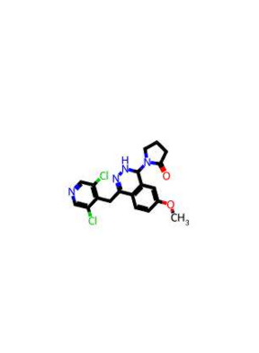 COc1ccc2c(c1)C(N1CCCC1=O)NN=C2Cc1c(Cl)cncc1Cl